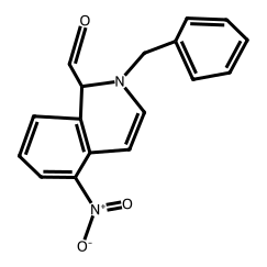 O=CC1c2cccc([N+](=O)[O-])c2C=CN1Cc1ccccc1